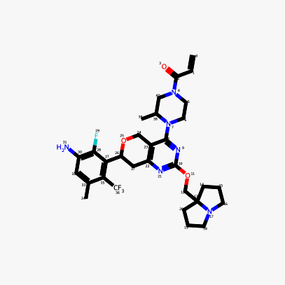 C=CC(=O)N1CCN(c2nc(OCC34CCCN3CCC4)nc3c2COC(c2c(F)c(N)cc(C)c2C(F)(F)F)C3)C(C)C1